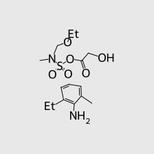 CCOCN(C)S(=O)(=O)OC(=O)CO.CCc1cccc(C)c1N